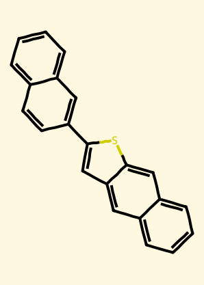 c1ccc2cc(-c3cc4cc5ccccc5cc4s3)ccc2c1